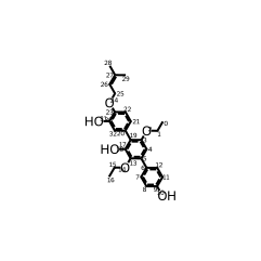 CCOc1cc(-c2ccc(O)cc2)c(OCC)c(O)c1-c1ccc(OCC=C(C)C)c(O)c1